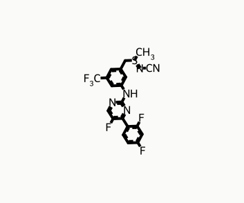 CS(Cc1cc(Nc2ncc(F)c(-c3ccc(F)cc3F)n2)cc(C(F)(F)F)c1)=NC#N